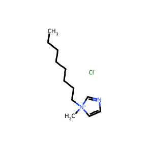 CCCCCCCC[N+]1(C)C=CN=C1.[Cl-]